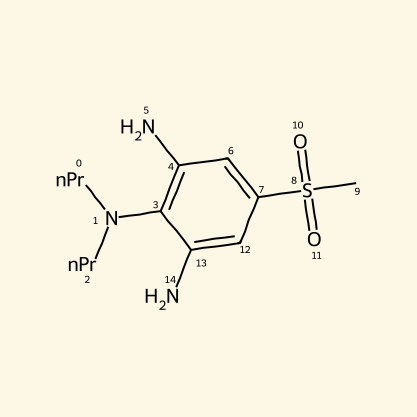 CCCN(CCC)c1c(N)cc(S(C)(=O)=O)cc1N